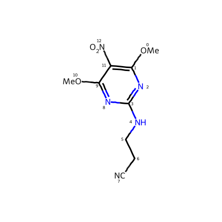 COc1nc(NCCC#N)nc(OC)c1[N+](=O)[O-]